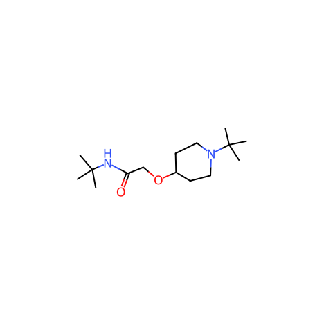 CC(C)(C)NC(=O)COC1CCN(C(C)(C)C)CC1